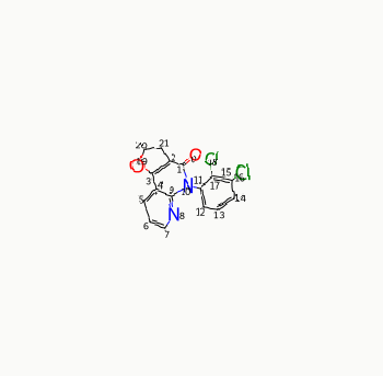 O=c1c2c(c3cccnc3n1-c1cccc(Cl)c1Cl)OCC2